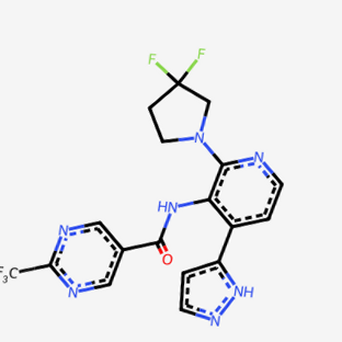 O=C(Nc1c(-c2ccn[nH]2)ccnc1N1CCC(F)(F)C1)c1cnc(C(F)(F)F)nc1